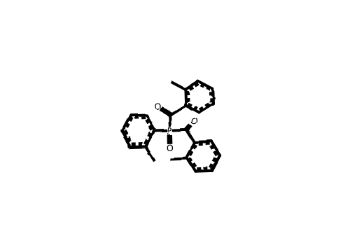 Cc1ccccc1C(=O)P(=O)(C(=O)c1ccccc1C)c1ccccc1C